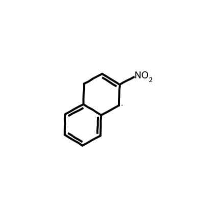 O=[N+]([O-])C1=CCc2ccccc2[CH]1